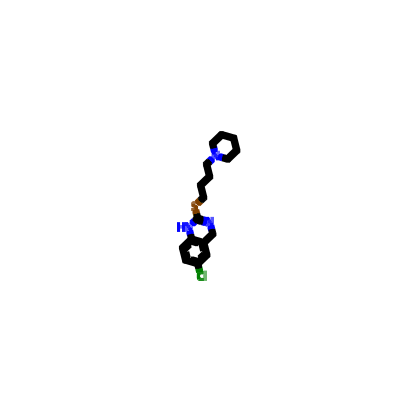 Clc1ccc2c(c1)CN=C(SCCCCN1CCCCC1)N2